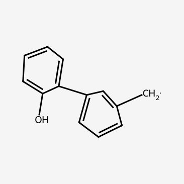 [CH2]c1cccc(-c2ccccc2O)c1